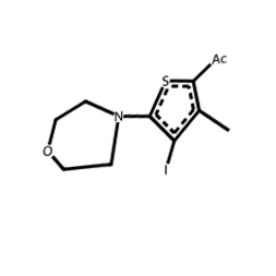 CC(=O)c1sc(N2CCOCC2)c(I)c1C